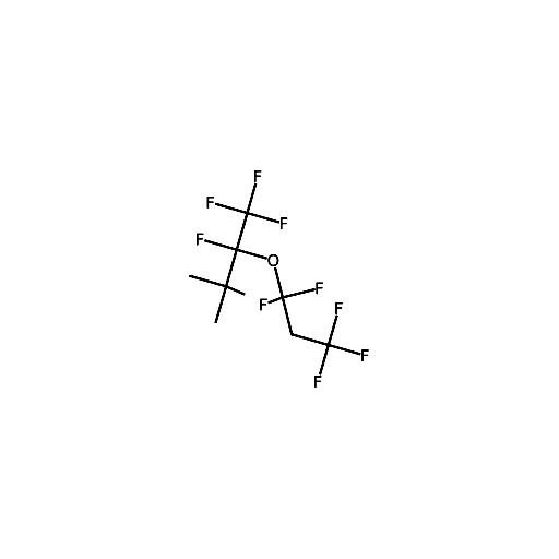 CC(C)(C)C(F)(OC(F)(F)CC(F)(F)F)C(F)(F)F